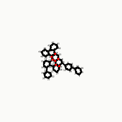 c1ccc(-c2ccc(-c3ccc(N(c4cccc(-c5ccccc5)c4-c4ccccc4-c4ccccc4)c4cc5ccccc5c5ccccc45)cc3)cc2)cc1